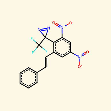 O=[N+]([O-])c1cc(C=Cc2ccccc2)c(C2(C(F)(F)F)N=N2)c([N+](=O)[O-])c1